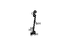 Br.CS(=O)(=O)Nc1cc(C(O)CNCCCCCCOCCCCc2ccc(C(=O)N3CCCCC3)cc2)ccc1O